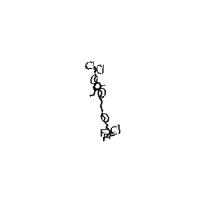 CCc1cc(OCC=C(Cl)Cl)cc(C)c1OCCCCCOCCC=C(Cl)C(F)(F)F